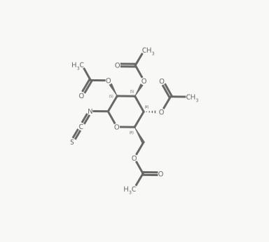 CC(=O)OC[C@H]1OC(N=C=S)[C@@H](OC(C)=O)[C@@H](OC(C)=O)[C@@H]1OC(C)=O